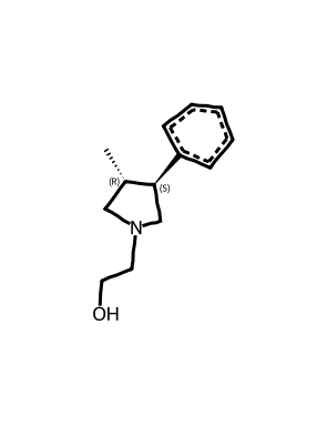 C[C@H]1CN(CCO)C[C@@H]1c1ccccc1